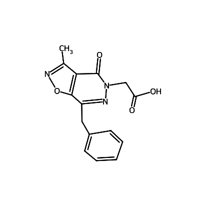 Cc1noc2c(Cc3ccccc3)nn(CC(=O)O)c(=O)c12